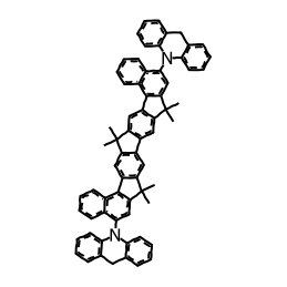 CC1(C)c2cc3c(cc2-c2cc4c(cc21)-c1c(cc(N2c5ccccc5Cc5ccccc52)c2ccccc12)C4(C)C)C(C)(C)c1cc(N2c4ccccc4Cc4ccccc42)c2ccccc2c1-3